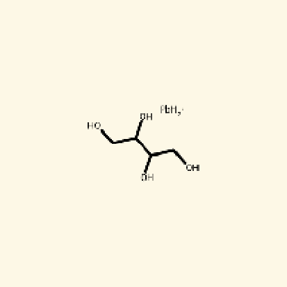 OCC(O)C(O)CO.[PbH2]